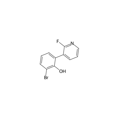 Oc1c(Br)cccc1-c1cccnc1F